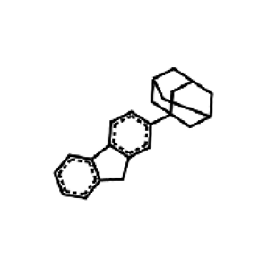 c1ccc2c(c1)Cc1cc(C34CC5CC(CC(C5)C3)C4)ccc1-2